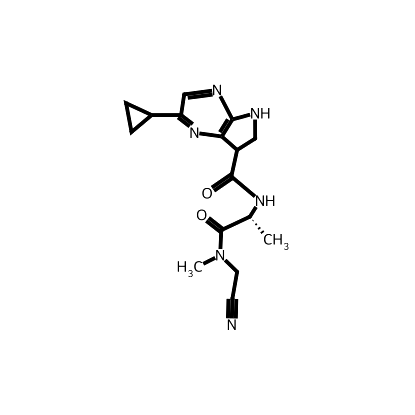 C[C@@H](NC(=O)C1CNc2ncc(C3CC3)nc21)C(=O)N(C)CC#N